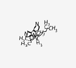 CCC(C)(CC)CC(n1c2ccncc2c2cnccc21)C(C)(C)CCCC(C)C